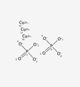 O=P([O-])([O-])[O-].O=P([O-])([O-])[O-].[Co+2].[Co+2].[Co+2]